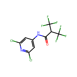 O=C(Nc1cc(Cl)nc(Cl)c1)C(C(F)(F)F)C(F)(F)F